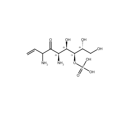 C=CC(N)C(=O)[C@H](N)[C@@H](O)[C@H](OP(=O)(O)O)[C@H](O)CO